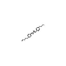 C=CCCCc1ccc(/C=N/N=C/c2ccc(CCCC)cc2)cc1